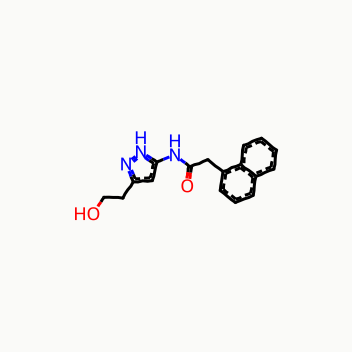 O=C(Cc1cccc2ccccc12)Nc1cc(CCO)n[nH]1